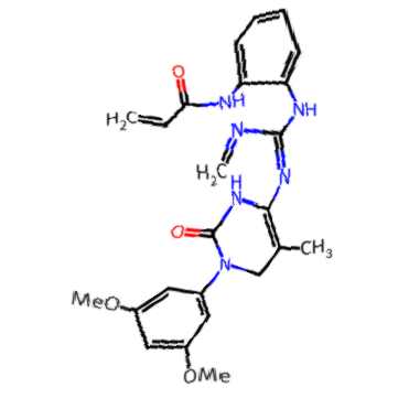 C=CC(=O)Nc1ccccc1N/C(N=C)=N/C1=C(C)CN(c2cc(OC)cc(OC)c2)C(=O)N1